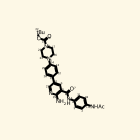 CC(=O)Nc1ccc(NC(=O)c2cc(-c3ccc(N4CCN(C(=O)OC(C)(C)C)CC4)cc3)cnc2N)cc1